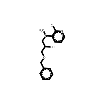 CN(CC(O)COCc1ccccc1)c1cccnc1Cl